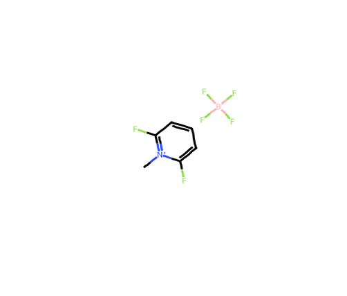 C[n+]1c(F)cccc1F.F[B-](F)(F)F